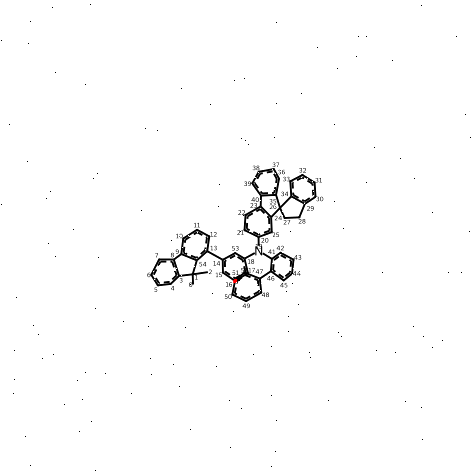 CC1(C)c2ccccc2-c2cccc(-c3cccc(N(c4ccc5c(c4)C4(CCc6ccccc64)c4ccccc4-5)c4ccccc4-c4ccccc4)c3)c21